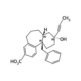 CC#C[C@@]1(O)CC[C@]2(Cc3ccccc3)c3ccc(C(=O)O)cc3CCC[C@@H]2C1